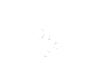 CC(=O)N1CCn2c1nc(-c1ccn(C)n1)c2-c1cc2cnccc2s1